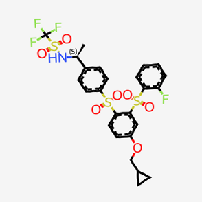 C[C@H](NS(=O)(=O)C(F)(F)F)c1ccc(S(=O)(=O)c2ccc(OCC3CC3)cc2S(=O)(=O)c2ccccc2F)cc1